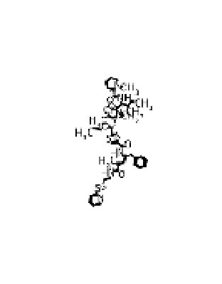 CCCO[C@H](C[C@H](C(C)C)N(C)C(=O)[C@@H](NC(=O)[C@H]1CCCCN1C)C(C)CC)c1nc(C(=O)N[C@@H](Cc2ccccc2)C[C@H](C)C(=O)NCCSSc2ccccn2)cs1